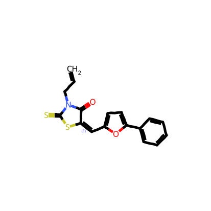 C=CCN1C(=O)/C(=C\c2ccc(-c3ccccc3)o2)SC1=S